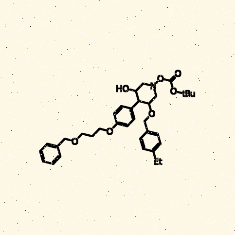 CCc1ccc(COC2CN(OC(=O)OC(C)(C)C)CC(O)C2c2ccc(OCCCOCc3ccccc3)cc2)cc1